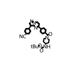 CC(C)(C)OC(=O)NC1CCN(C(=O)c2ccc(-c3ccn4ncc(-c5ccc(C#N)cc5)c4n3)cc2)CC1